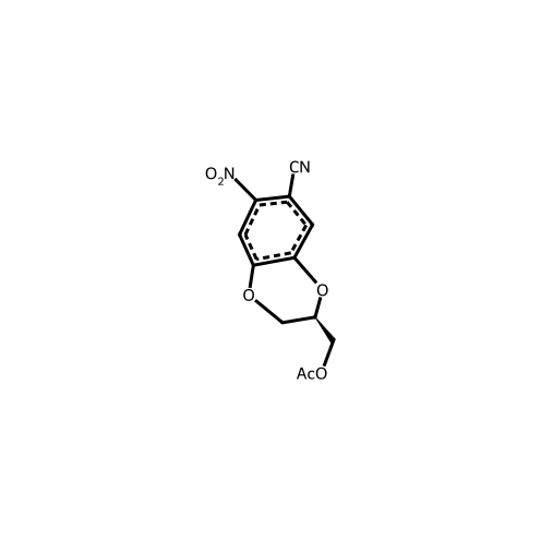 CC(=O)OC[C@H]1COc2cc([N+](=O)[O-])c(C#N)cc2O1